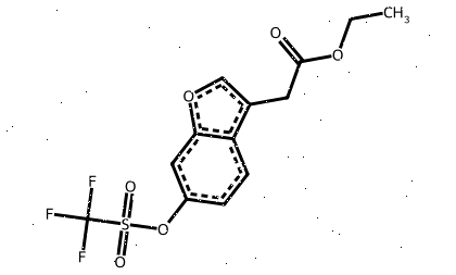 CCOC(=O)Cc1coc2cc(OS(=O)(=O)C(F)(F)F)ccc12